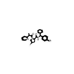 CC(C)c1ccc(C(NC(=O)C2CC(F)CN2C(=O)C(C)c2ccccn2)c2ccccc2)cc1